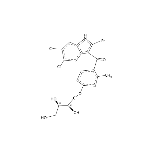 Cc1cc(OC[C@@H](O)[C@H](O)CO)ccc1C(=O)c1c(C(C)C)[nH]c2cc(Cl)c(Cl)cc12